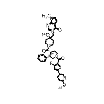 CCOc1ccc(-c2cc(F)c(C(=O)N3CC[C@@H](C(=O)N4CCC(O)(Cn5cnc6c(ccn6C)c5=O)CC4)[C@H](c4ccccc4)C3)s2)cn1